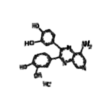 Cl.Nc1cncc2nc(-c3ccc(O)c(O)c3)c(-c3ccc(O)c(O)c3)nc12